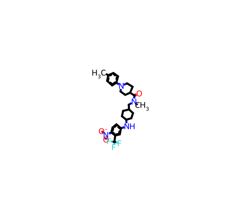 Cc1ccc(N2CCC(C(=O)N(C)CC3CCC(Nc4ccc([N+](=O)[O-])c(C(F)(F)F)c4)CC3)CC2)cc1